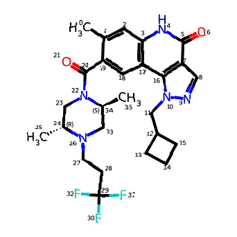 Cc1cc2[nH]c(=O)c3cnn(CC4CCC4)c3c2cc1C(=O)N1C[C@@H](C)N(CCC(F)(F)F)C[C@@H]1C